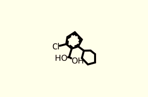 OC(O)c1c(Cl)cccc1C1CCCCC1